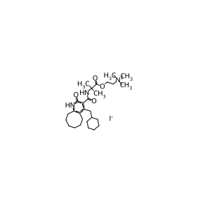 CC(C)(NC(=O)c1c(CC2CCCCC2)c2c([nH]c1=O)CCCCCC2)C(=O)OCC[N+](C)(C)C.[I-]